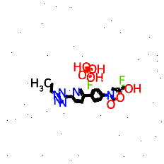 CCCn1nnc(-c2ccc(-c3ccc(N4C[C@H](C(O)F)OC4=O)cc3F)cn2)n1.O=P(O)(O)O